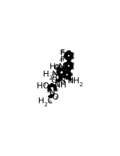 C=CC(=O)N1C[C@@H](O)C[C@@H](NC(=O)c2sc3c(N)ccc4c3c2C(N)C(=O)C4(N)c2cccc(-c3cccc(F)c3F)c2)C1